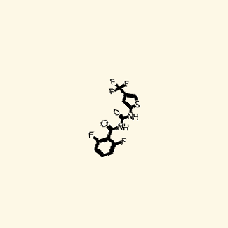 O=C(NC(=O)c1c(F)cccc1F)Nc1cc(C(F)(F)F)cs1